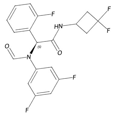 O=CN(c1cc(F)cc(F)c1)[C@H](C(=O)NC1CC(F)(F)C1)c1ccccc1F